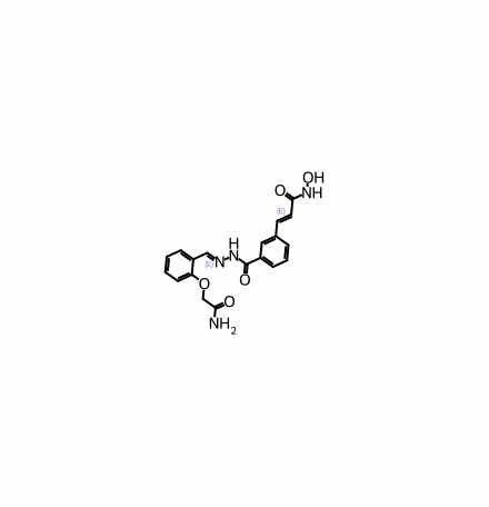 NC(=O)COc1ccccc1/C=N/NC(=O)c1cccc(/C=C/C(=O)NO)c1